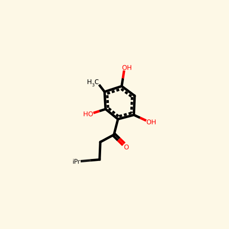 Cc1c(O)cc(O)c(C(=O)CCC(C)C)c1O